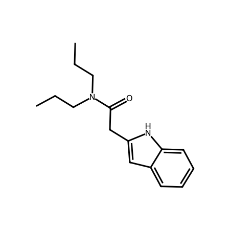 CCCN(CCC)C(=O)Cc1cc2ccccc2[nH]1